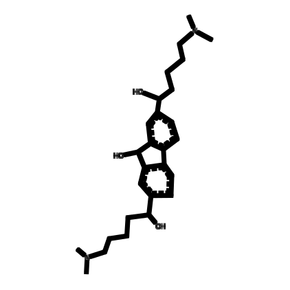 CN(C)CCCCC(O)c1ccc2c(c1)C(O)c1cc(C(O)CCCCN(C)C)ccc1-2